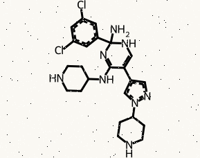 NC1(c2cc(Cl)cc(Cl)c2)N=C(NC2CCNCC2)C(c2cnn(C3CCNCC3)c2)=CN1